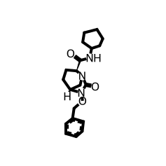 O=C(NC1CCCCC1)[C@@H]1CC[C@@H]2CN1C(=O)N2OCc1ccccc1